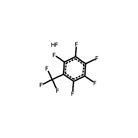 F.Fc1c(F)c(F)c(C(F)(F)F)c(F)c1F